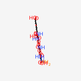 O=C(O)CCCCCCCCCCCCCCC(=O)N[C@@H](CCC(=O)NCCOCCOCC(=O)NCCOCCOCC(=O)NCCCC[C@H](NP)C(=O)O)C(=O)O